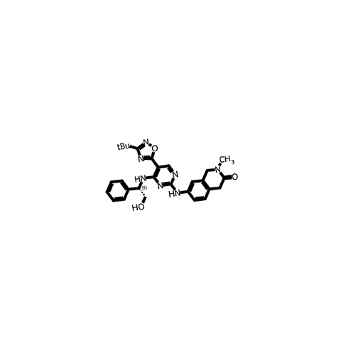 CN1Cc2cc(Nc3ncc(-c4nc(C(C)(C)C)no4)c(N[C@H](CO)c4ccccc4)n3)ccc2CC1=O